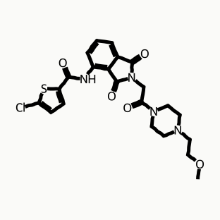 COCCN1CCN(C(=O)CN2C(=O)c3cccc(NC(=O)c4ccc(Cl)s4)c3C2=O)CC1